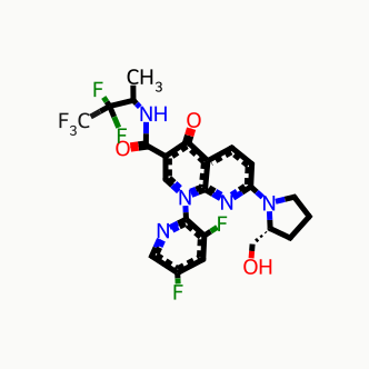 CC(NC(=O)c1cn(-c2ncc(F)cc2F)c2nc(N3CCC[C@@H]3CO)ccc2c1=O)C(F)(F)C(F)(F)F